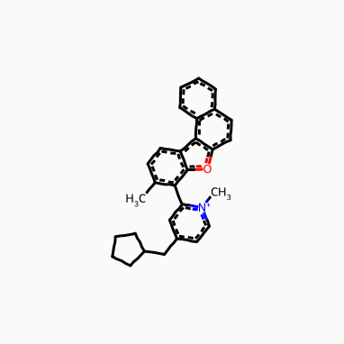 Cc1ccc2c(oc3ccc4ccccc4c32)c1-c1cc(CC2CCCC2)cc[n+]1C